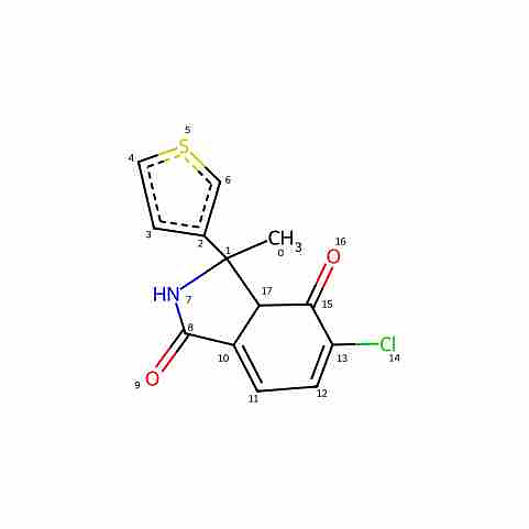 CC1(c2ccsc2)NC(=O)C2=CC=C(Cl)C(=O)C21